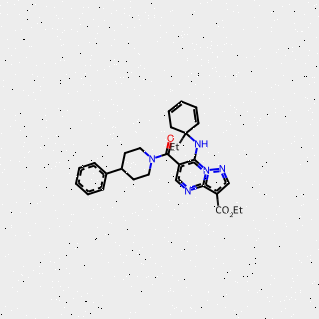 CCOC(=O)c1cnn2c(NC3(CC)C=CC=CC3)c(C(=O)N3CCC(c4ccccc4)CC3)cnc12